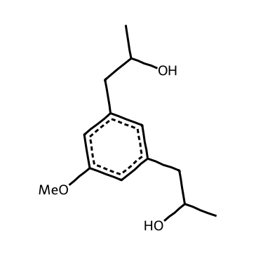 COc1cc(CC(C)O)cc(CC(C)O)c1